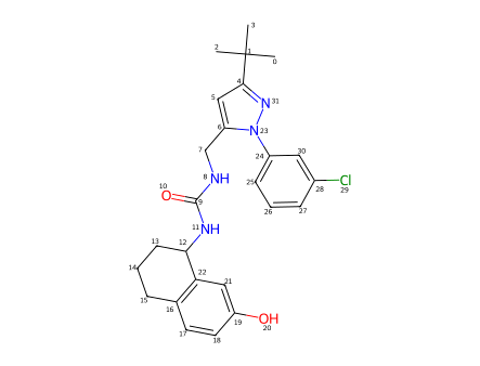 CC(C)(C)c1cc(CNC(=O)NC2CCCc3ccc(O)cc32)n(-c2cccc(Cl)c2)n1